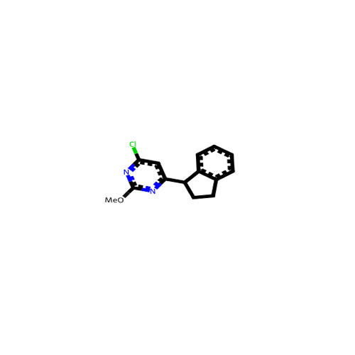 COc1nc(Cl)cc(C2CCc3ccccc32)n1